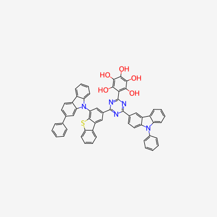 Oc1c(O)c(O)c(-c2nc(-c3cc(-n4c5ccccc5c5ccc(-c6ccccc6)cc54)c4sc5ccccc5c4c3)nc(-c3ccc4c(c3)c3ccccc3n4-c3ccccc3)n2)c(O)c1O